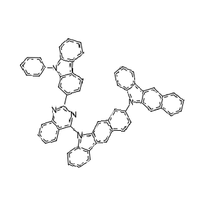 c1ccc(-n2c3ccccc3c3ccc(-c4nc(-n5c6ccccc6c6cc7ccc(-n8c9ccccc9c9cc%10ccccc%10cc98)cc7cc65)c5ccccc5n4)cc32)cc1